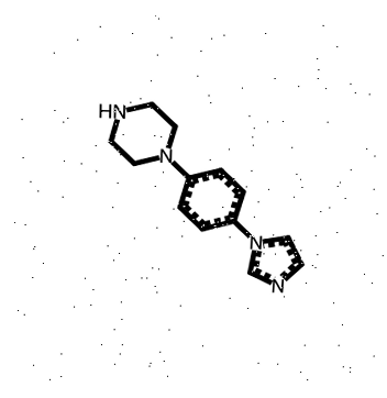 c1cn(-c2ccc(N3CCNCC3)cc2)cn1